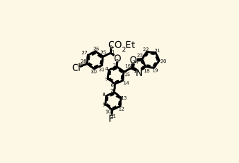 CCOC(=O)C(Oc1ccc(-c2ccc(F)cc2)cc1-c1nc2ccccc2o1)c1ccc(Cl)cc1